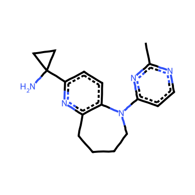 Cc1nccc(N2CCCCc3nc(C4(N)CC4)ccc32)n1